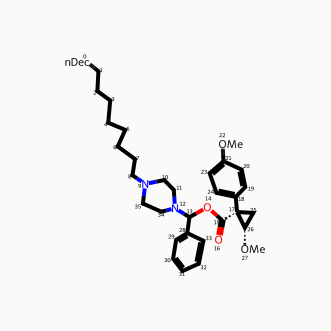 CCCCCCCCCCCCCCCCCCN1CCN(C(OC(=O)[C@]2(c3ccc(OC)cc3)C[C@@H]2OC)c2ccccc2)CC1